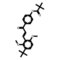 COc1ccc(C(C)(C)C)c(OC)c1C=CC(=O)c1ccc(OC(=O)C(C)(C)C)cc1